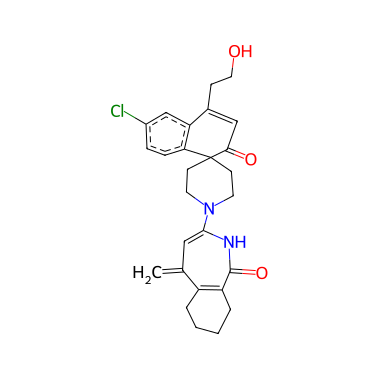 C=C1C=C(N2CCC3(CC2)C(=O)C=C(CCO)c2cc(Cl)ccc23)NC(=O)C2=C1CCCC2